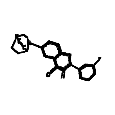 O=c1[nH]c(-c2cccc(F)c2)nc2ccc(N3CCN4CCC3CC4)cc12